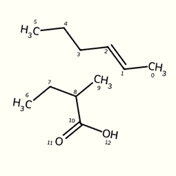 CC=CCCC.CCC(C)C(=O)O